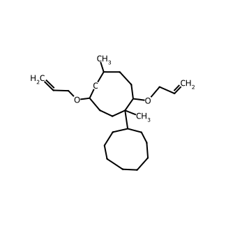 C=CCOC1CCC(C)(C2CCCCCCCC2)C(OCC=C)CCC(C)C1